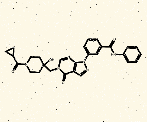 O=C(Nc1ccccc1)c1cccc(-n2ncc3c(=O)n(CC4(O)CCN(C(=O)C5CC5)CC4)cnc32)c1